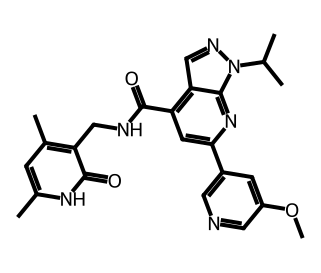 COc1cncc(-c2cc(C(=O)NCc3c(C)cc(C)[nH]c3=O)c3cnn(C(C)C)c3n2)c1